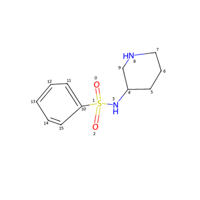 O=S(=O)(NC1CCCNC1)c1ccccc1